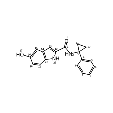 O=C(NC1(c2ccccc2)CC1)c1cc2cc(O)ccc2[nH]1